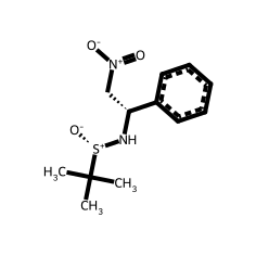 CC(C)(C)[S@+]([O-])N[C@H](C[N+](=O)[O-])c1ccccc1